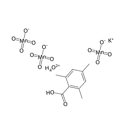 Cc1cc(C)c(C(=O)O)c(C)c1.[K+].[OH4+2].[O]=[Mn](=[O])(=[O])[O-].[O]=[Mn](=[O])(=[O])[O-].[O]=[Mn](=[O])(=[O])[O-]